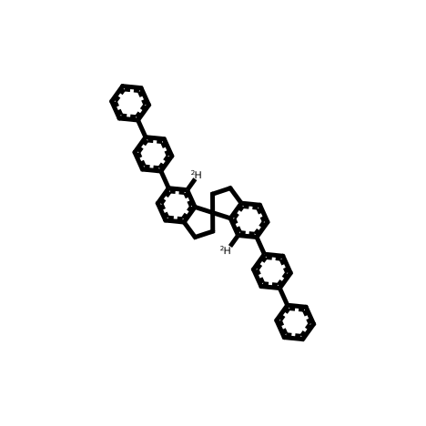 [2H]c1c(-c2ccc(-c3ccccc3)cc2)ccc2c1C1(CC2)CCc2ccc(-c3ccc(-c4ccccc4)cc3)c([2H])c21